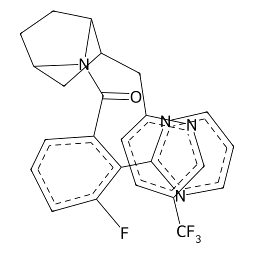 O=C(c1cccc(F)c1-c1ncccn1)N1C2CCC1C(Cc1ccc(C(F)(F)F)cn1)C2